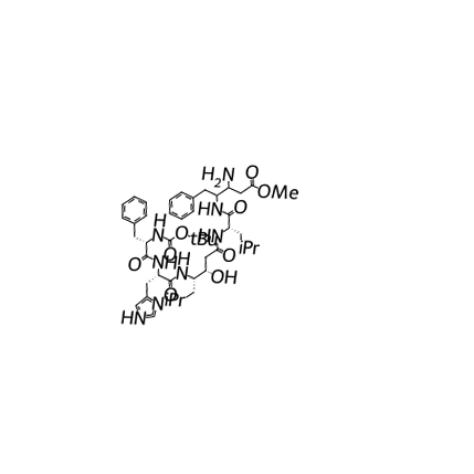 COC(=O)CC(N)C(Cc1ccccc1)NC(=O)[C@H](CC(C)C)NC(=O)C[C@H](O)[C@H](CC(C)C)NC(=O)[C@H](Cc1c[nH]cn1)NC(=O)[C@H](Cc1ccccc1)NC(=O)OC(C)(C)C